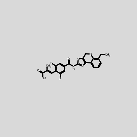 CCc1cccc2c1OCc1sc(NC(=O)c3cc(F)c(C=C(C)C(=O)O)c(F)c3)nc1-2